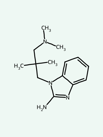 CN(C)CC(C)(C)Cn1c(N)nc2ccccc21